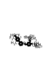 Cc1cc(C(O)(C(F)(F)F)C(F)(F)F)ccc1-c1cccc(OCc2ccc(CO[Si](C)(C)C(C)(C)C)c(CO[Si](C)(C)C(C)(C)C)c2)c1